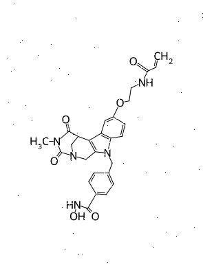 C=CC(=O)NCCOc1ccc2c(c1)c1c(n2Cc2ccc(C(=O)NO)cc2)CN2CC1C(=O)N(C)C2=O